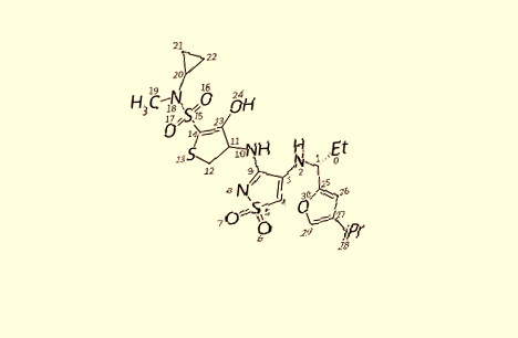 CC[C@@H](NC1=CS(=O)(=O)N=C1NC1CSC(S(=O)(=O)N(C)C2CC2)=C1O)c1cc(C(C)C)co1